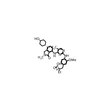 CCC(Cc1ccc(Nc2ncc(C(F)(F)F)c(Nc3ccc([C@H]4CC[C@H](O)CC4)c4c3C(=O)N(C)C4)n2)c(OC)c1)[PH](=O)O